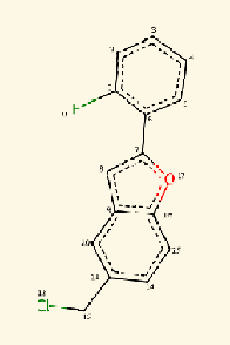 Fc1ccccc1-c1cc2cc(CCl)ccc2o1